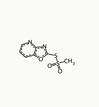 CS(=O)(=O)Sc1nc2ncccc2o1